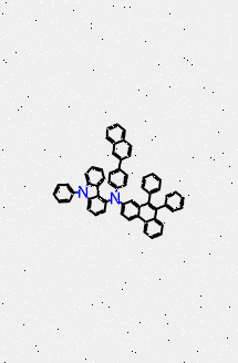 c1ccc(-c2c(-c3ccccc3)c3cc(N(c4ccc(-c5ccc6ccccc6c5)cc4)c4cccc5c4c4ccccc4n5-c4ccccc4)ccc3c3ccccc23)cc1